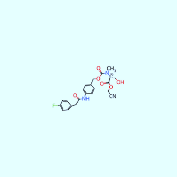 CN(C(=O)OCc1ccc(NC(=O)Cc2ccc(F)cc2)cc1)[C@H](CO)C(=O)OCC#N